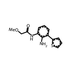 COCC(=O)Nc1cccc(-c2cccs2)c1N